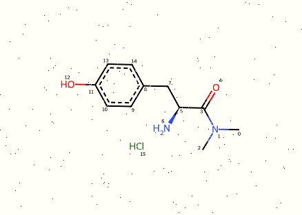 CN(C)C(=O)[C@@H](N)Cc1ccc(O)cc1.Cl